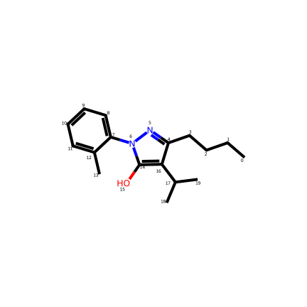 CCCCc1nn(-c2ccccc2C)c(O)c1C(C)C